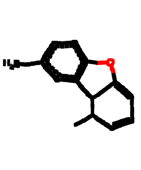 Bc1ccc2c(c1)C1C(=CC=CC1C)O2